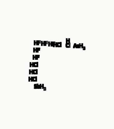 Cl.Cl.Cl.Cl.Cl.F.F.F.F.F.[AsH3].[SbH3]